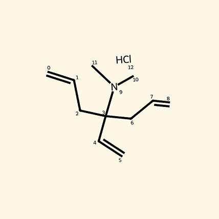 C=CCC(C=C)(CC=C)N(C)C.Cl